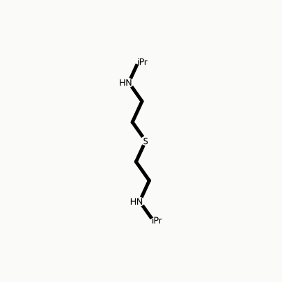 CC(C)NCCSCCNC(C)C